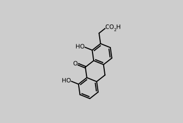 O=C(O)Cc1ccc2c(c1O)C(=O)c1c(O)cccc1C2